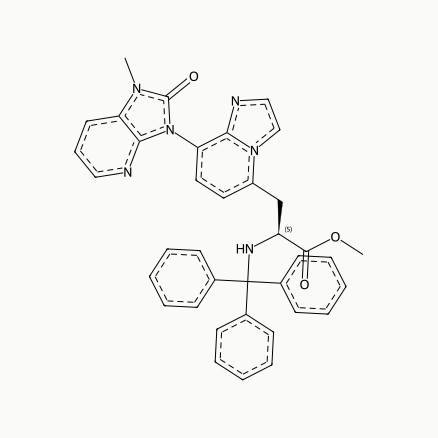 COC(=O)[C@H](Cc1ccc(-n2c(=O)n(C)c3cccnc32)c2nccn12)NC(c1ccccc1)(c1ccccc1)c1ccccc1